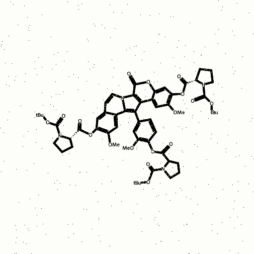 COc1cc(-c2c3c4cc(OC)c(OC(=O)[C@@H]5CCCN5C(=O)OC(C)(C)C)cc4oc(=O)c3n3ccc4cc(OC(=O)[C@@H]5CCCN5C(=O)OC(C)(C)C)c(OC)cc4c23)ccc1OC(=O)C1CCCN1C(=O)OC(C)(C)C